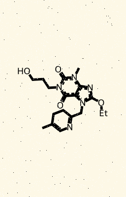 CCOc1nc2c(c(=O)n(CCCO)c(=O)n2C)n1CC1=NC=C(C)CC1